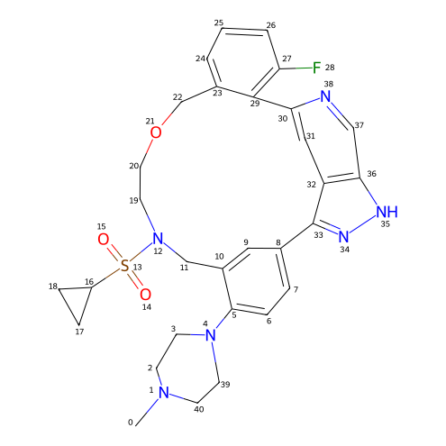 CN1CCN(c2ccc3cc2CN(S(=O)(=O)C2CC2)CCOCc2cccc(F)c2-c2cc4c-3n[nH]c4cn2)CC1